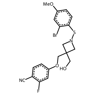 COc1ccc(SN2CC(CO)(COc3ccc(C#N)c(F)c3)C2)c(Br)c1